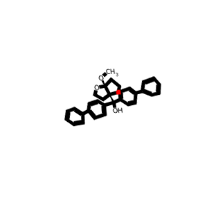 CO[C@@]12CCC[C@]1(C(O)(c1ccc(-c3ccccc3)cc1)c1ccc(-c3ccccc3)cc1)CCO2